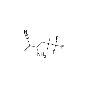 C=C(C#N)C(N)CC(C)(C)C(F)(F)F